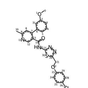 COc1cccc(-c2cc(C)ncc2C(=O)Nc2nnc(COc3ccc(Cl)cc3)s2)c1